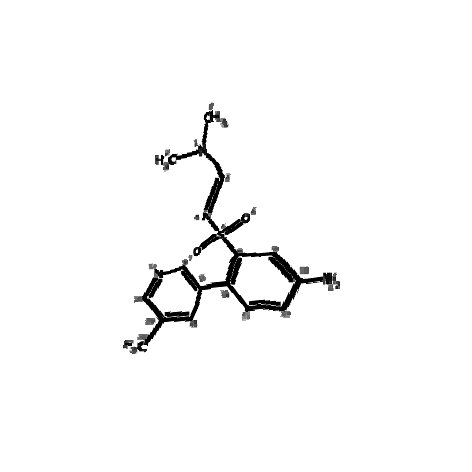 CN(C)C=NS(=O)(=O)c1cc(N)ccc1-c1cncc(C(F)(F)F)c1